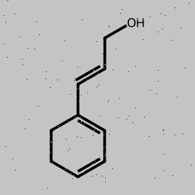 OCC=CC1=CC=CCC1